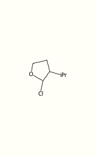 CC(C)C1CCOC1Cl